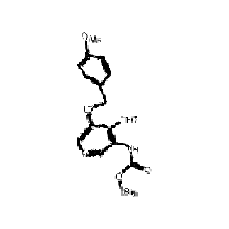 COc1ccc(COc2cncc(NC(=O)OC(C)(C)C)c2C=O)cc1